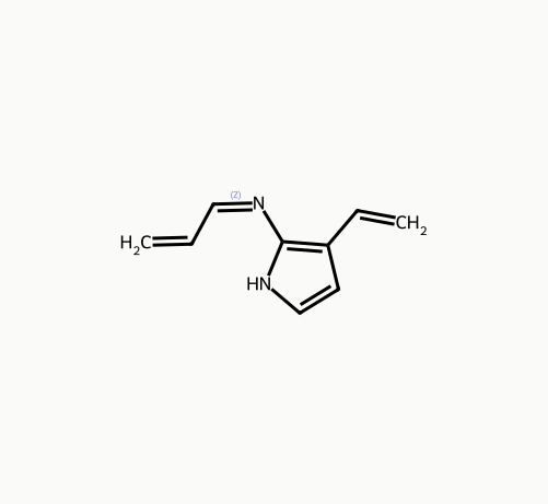 C=C/C=N\c1[nH]ccc1C=C